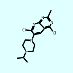 Cc1nc(Cl)c2cc(N3CCN(C(C)C)CC3)c(Cl)nc2n1